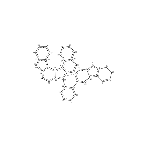 C1=Cc2c(sc3ccc(-c4ccccc4-n4c5ccc6ccccc6c5c5c6c(ccc54)oc4ccccc46)cc23)CC1